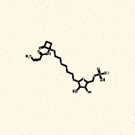 N/C=C\C(=O)NC1(CCCCCCCCC2OC(COP(=O)(O)O)C(O)C2O)CCC1=O